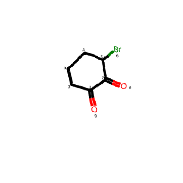 O=C1CCCC(Br)C1=O